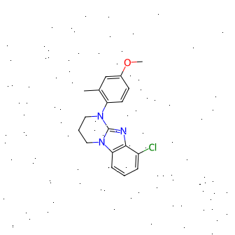 COc1ccc(N2CCCn3c2nc2c(Cl)cc[c]c23)c(C)c1